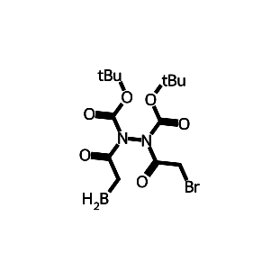 BCC(=O)N(C(=O)OC(C)(C)C)N(C(=O)CBr)C(=O)OC(C)(C)C